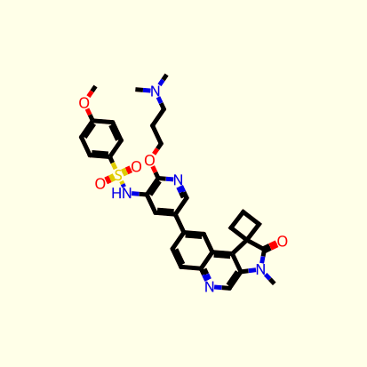 COc1ccc(S(=O)(=O)Nc2cc(-c3ccc4ncc5c(c4c3)C3(CCC3)C(=O)N5C)cnc2OCCCN(C)C)cc1